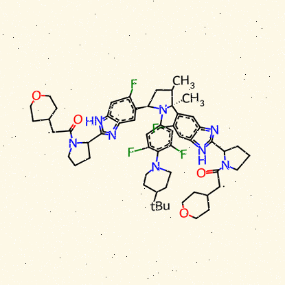 CC1C[C@H](c2cc3nc(C4CCCN4C(=O)[CH]C4CCOCC4)[nH]c3cc2F)N(c2cc(F)c(N3CCC(C(C)(C)C)CC3)c(F)c2)[C@]1(C)c1cc2nc(C3CCCN3C(=O)[CH]C3CCOCC3)[nH]c2cc1F